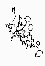 N#CCCO[PH](=O)O[C@H]1[C@@H](F)[C@@H](n2cnc3c(NC(=O)c4ccccc4)ncnc32)O[C@@H]1CNC(c1ccccc1)(c1ccccc1)c1ccccc1